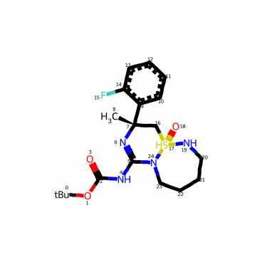 CC(C)(C)OC(=O)NC1=N[C@](C)(c2ccccc2F)C[SH]2(=O)NCCCCN12